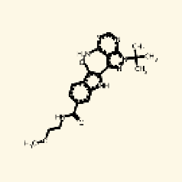 COCCNC(=O)c1ccc2c(Cl)c(-c3nn(C(C)(C)C)c4ncnc(N)c34)[nH]c2c1